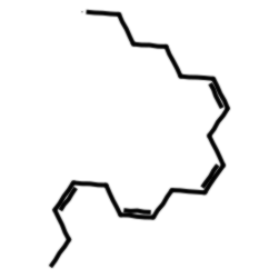 [CH2]CCCC/C=C\C/C=C\C/C=C\C/C=C\CC